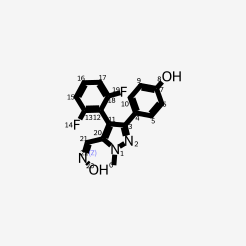 Cn1nc(-c2ccc(O)cc2)c(-c2c(F)cccc2F)c1/C=N\O